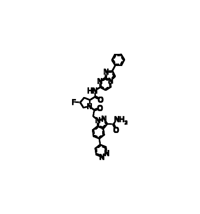 NC(=O)c1nn(CC(=O)N2CC(F)CC2C(=O)Nc2ccn3cc(-c4ccccc4)nc3n2)c2ccc(-c3ccnnc3)cc12